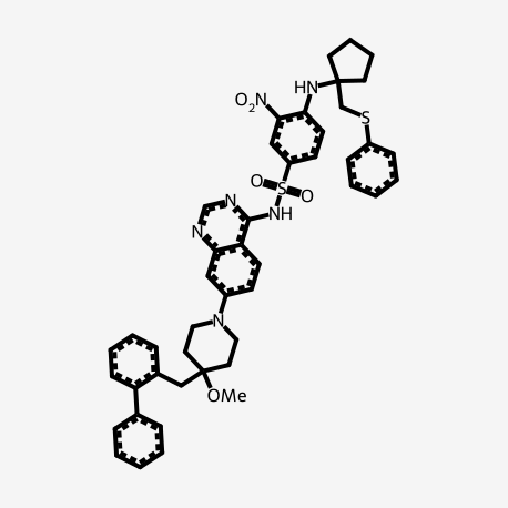 COC1(Cc2ccccc2-c2ccccc2)CCN(c2ccc3c(NS(=O)(=O)c4ccc(NC5(CSc6ccccc6)CCCC5)c([N+](=O)[O-])c4)ncnc3c2)CC1